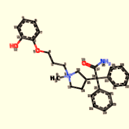 C[N+]1(CCCOc2ccccc2O)CCC(C(C(N)=O)(c2ccccc2)c2ccccc2)C1